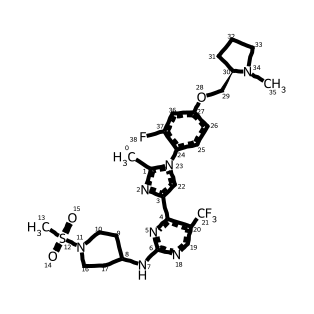 Cc1nc(-c2nc(NC3CCN(S(C)(=O)=O)CC3)ncc2C(F)(F)F)cn1-c1ccc(OC[C@H]2CCCN2C)cc1F